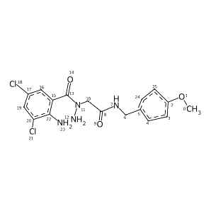 COc1ccc(CNC(=O)CN(N)C(=O)c2cc(Cl)cc(Cl)c2N)cc1